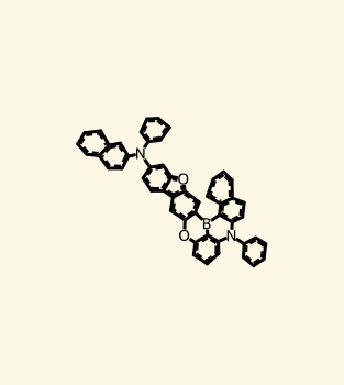 c1ccc(N(c2ccc3ccccc3c2)c2ccc3c(c2)oc2cc4c(cc23)Oc2cccc3c2B4c2c(ccc4ccccc24)N3c2ccccc2)cc1